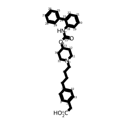 O=C(O)Cc1ccc(CCCCN2CCC(OC(=O)Nc3ccccc3-c3ccccc3)CC2)cc1